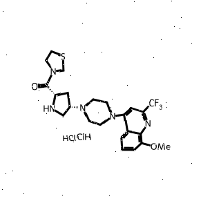 COc1cccc2c(N3CCN([C@@H]4CN[C@H](C(=O)N5CCSC5)C4)CC3)cc(C(F)(F)F)nc12.Cl.Cl